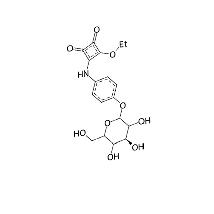 CCOc1c(Nc2ccc(OC3OC(CO)C(O)[C@H](O)C3O)cc2)c(=O)c1=O